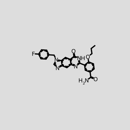 CCCOc1ccc(C(N)=O)cc1-c1nc2cc3ncn(Cc4ccc(F)cc4)c3cc2c(=O)[nH]1